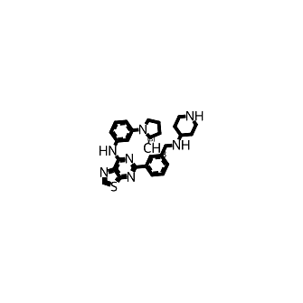 C[C@H]1CCCN1c1cccc(Nc2nc(-c3cccc(CNC4CCNCC4)c3)nc3scnc23)c1